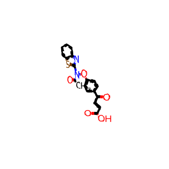 CC(=O)N(Oc1ccc(C(=O)/C=C/C(=O)O)cc1)c1nc2ccccc2s1